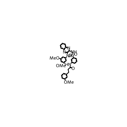 COc1cccc(CCC(=O)Nc2cccc(S(=O)(=O)Nc3nc4ccccc4nc3Nc3cc(OC)cc(OC)c3)c2)c1